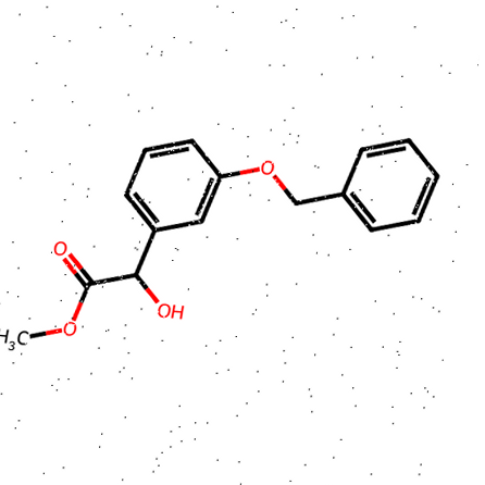 COC(=O)C(O)c1cccc(OCc2ccccc2)c1